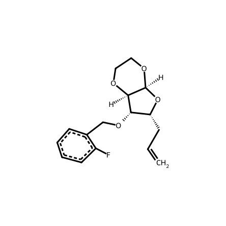 C=CC[C@H]1O[C@@H]2OCCO[C@@H]2[C@H]1OCc1ccccc1F